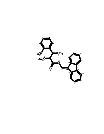 NC(c1ccccc1[N+](=O)[O-])C(C(=O)O)C(=O)OCC1c2ccccc2-c2ccccc21